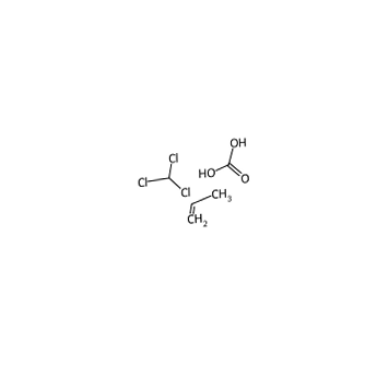 C=CC.ClC(Cl)Cl.O=C(O)O